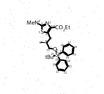 CCOC(=O)c1nc(NC)sc1C[C@H](C)CO[Si](c1ccccc1)(c1ccccc1)C(C)(C)C